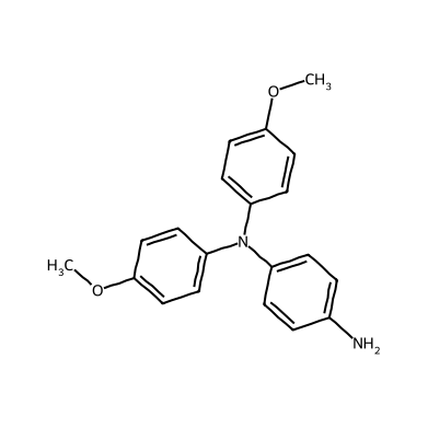 COc1ccc(N(c2ccc(N)cc2)c2ccc(OC)cc2)cc1